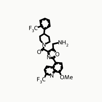 COc1ccc(-c2nc(C(=O)N3CCC(c4ccccc4C(F)(F)F)CC3)c(CN)o2)c2ccc(C(F)(F)F)nc12